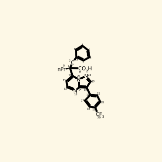 CCC[C@@](Cc1ccccc1)(C(=O)O)c1ccnc2c(-c3ccc(C(F)(F)F)cc3)cnn12